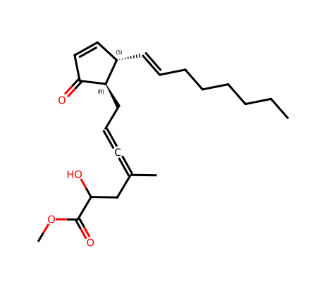 CCCCCCC=C[C@H]1C=CC(=O)[C@@H]1CC=C=C(C)CC(O)C(=O)OC